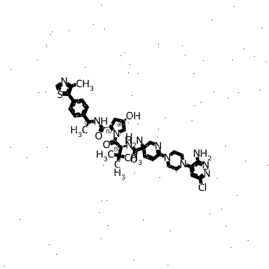 Cc1ncsc1-c1ccc([C@H](C)NC(=O)[C@@H]2C[C@@H](O)CN2C(=O)[C@@H](NC(=O)C2(N)C=CC(N3CCN(c4cc(Cl)nnc4N)CC3)=NC2)C(C)(C)C)cc1